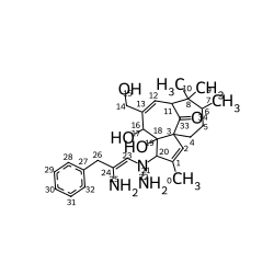 CC1=CC23CCC(C)C(C)(C)C(C=C(CO)C(O)C2(O)C1N(N)/C=C(\N)Cc1ccccc1)C3=O